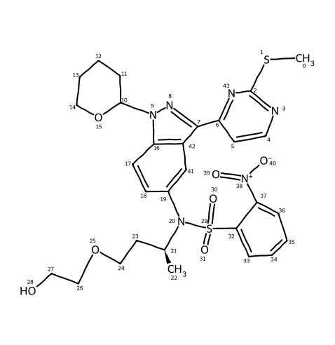 CSc1nccc(-c2nn(C3CCCCO3)c3ccc(N([C@@H](C)CCOCCO)S(=O)(=O)c4ccccc4[N+](=O)[O-])cc23)n1